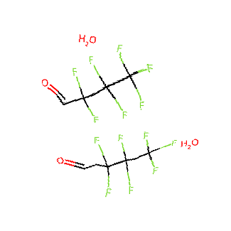 O.O.O=CC(F)(F)C(F)(F)C(F)(F)F.O=CC(F)(F)C(F)(F)C(F)(F)F